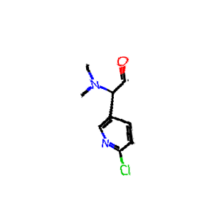 CN(C)C([C]=O)c1ccc(Cl)nc1